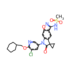 CS(=O)(=O)Nc1noc2cc3c(cc12)C1(CC1)C(=O)N3c1cnc(OCC2CCCCC2)c(Cl)c1